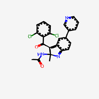 CC(=O)NC1(C)N=c2ccc(-c3cccnc3)cc2=C1C(=O)c1c(Cl)cccc1Cl